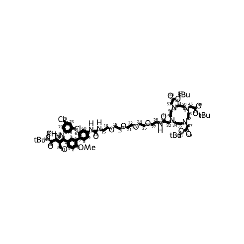 COc1cc2c(cc1-c1ccc(NC(=O)NCCOCCOCCOCCOCCNC(=O)CN3CCN(CC(=O)OC(C)(C)C)CCN(CC(=O)OC(C)(C)C)CCN(CC(=O)OC(C)(C)C)CC3)cc1)-c1c(c(C(=O)N(C)C(C)(C)C)nn1-c1cc(Cl)cc(Cl)c1)CO2